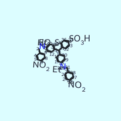 CCN(Cc1ccc([N+](=O)[O-])cc1)c1ccc(C(c2ccc(N(CC)Cc3ccc([N+](=O)[O-])cc3)cc2)c2ccc(S(=O)(=O)O)cc2S(=O)(=O)O)cc1